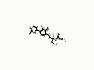 Cc1nccc(-c2ccc(OC[C@](C)(CC(C)C)OC(N)=O)c(F)c2F)n1